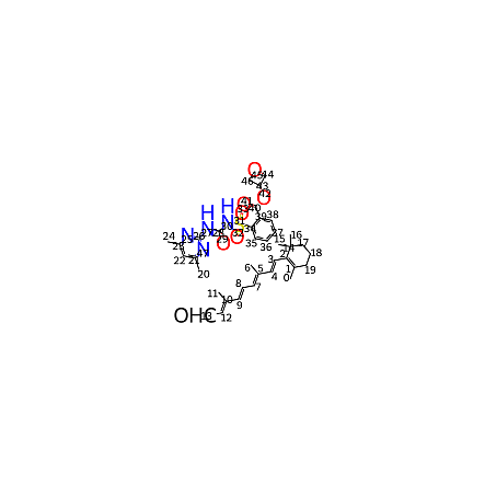 CC1=C(/C=C/C(C)=C/C=C/C(C)=C/C=O)C(C)(C)CCC1.Cc1cc(C)nc(NC(=O)NS(=O)(=O)c2ccccc2C(=O)OC2COC2)n1